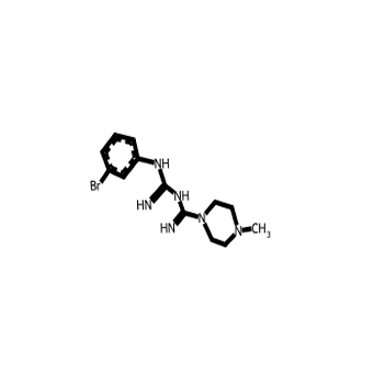 CN1CCN(C(=N)NC(=N)Nc2cccc(Br)c2)CC1